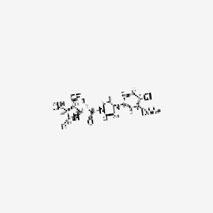 COc1cc(N2CCN(C(=O)Cn3nc(C)c(Cl)c3C(F)(F)F)CC2)ccc1Cl